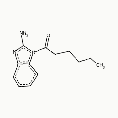 CCCCCC(=O)n1c(N)nc2ccccc21